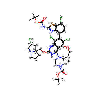 CC(C)(C)OC(=O)Nc1nc2c(-c3c(Cl)c4c5c(nc(OC[C@@]67CCCN6C[C@H](F)C7)nc5c3F)N3CCN(C(=O)OC(C)(C)C)C[C@@H]3CCO4)ccc(F)c2s1